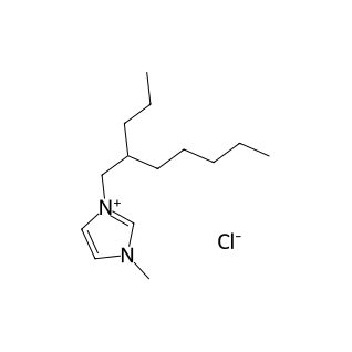 CCCCCC(CCC)C[n+]1ccn(C)c1.[Cl-]